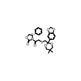 CC1(C)COC(CSCC(=O)N2C(=O)OC[C@@H]2c2ccccc2)(c2ccc3c(c2)OCO3)OC1